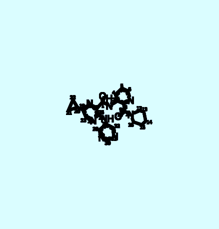 O=C(Nc1cccnc1C(=O)N1CCCCC1)c1nc(C2CC2)cnc1Nc1cncnc1